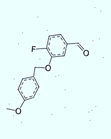 COc1ccc(COc2cc(C=O)ccc2F)cc1